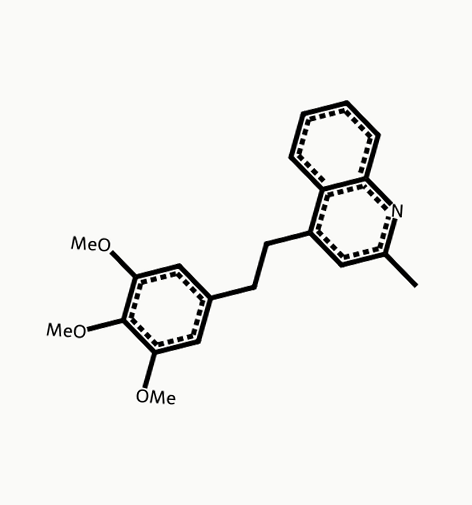 COc1cc(CCc2cc(C)nc3ccccc23)cc(OC)c1OC